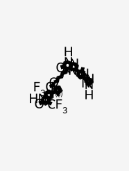 Cc1nc(-c2nc[nH]n2)ccc1-c1cnc2c(n1)N(CCCCCOC([C@H]1CC[C@H](C)N1c1ccc3[nH]c(=O)cc(C(F)(F)F)c3c1)C(F)(F)F)C(=O)CN2